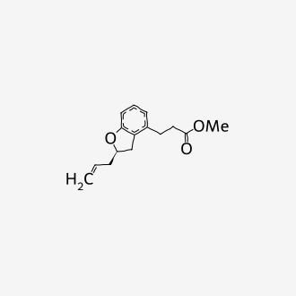 C=CC[C@@H]1Cc2c(CCC(=O)OC)cccc2O1